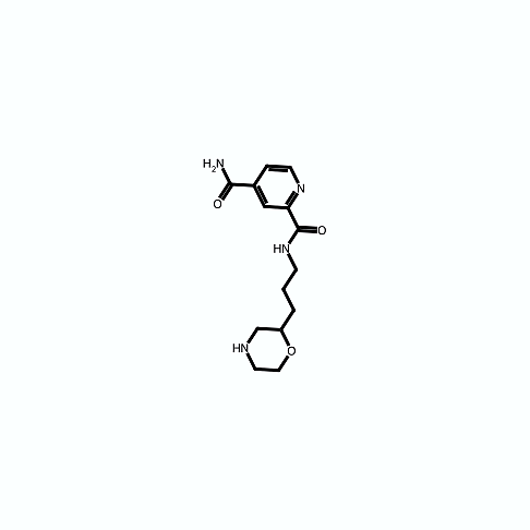 NC(=O)c1ccnc(C(=O)NCCCC2CNCCO2)c1